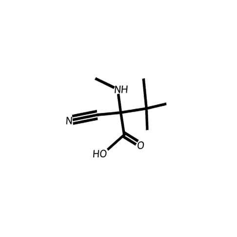 CNC(C#N)(C(=O)O)C(C)(C)C